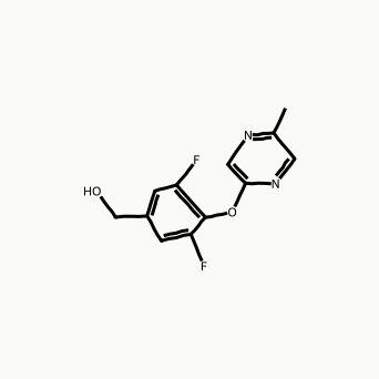 Cc1cnc(Oc2c(F)cc(CO)cc2F)cn1